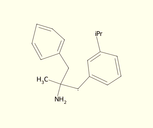 CC(C)c1cccc([CH]C(C)(N)Cc2ccccc2)c1